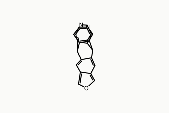 c1cc2c(cn1)C1c3cc4cocc4cc3C2c2cncnc21